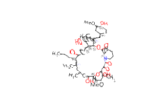 C=CC[C@@H]1/C=C(\C)C[C@H](C)C[C@H](O)[C@H]2O[C@@](O)(C(=O)C(=O)N3CCCC[C@H]3C(=O)O[C@H](/C(C)=C/[C@@H]3CC[C@@H](O)[C@H](OC)C3)[C@H](C)[C@@H](O)CC1=O)[C@H](C)C[C@@H]2OC